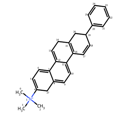 C[N+](C)(C)C1=CC=c2c(ccc3c2=CCC2=C3C=CC(c3ccccc3)C2)C1